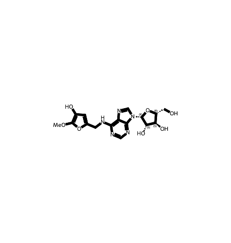 COc1oc(CNc2ncnc3c2ncn3[C@@H]2O[C@H](CO)[C@@H](O)[C@@H]2O)cc1O